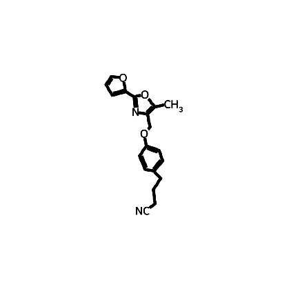 Cc1oc(-c2ccco2)nc1COc1ccc(CCCC#N)cc1